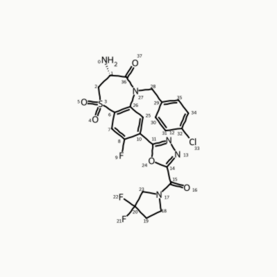 N[C@H]1CS(=O)(=O)c2cc(F)c(-c3nnc(C(=O)N4CCC(F)(F)C4)o3)cc2N(Cc2ccc(Cl)cc2)C1=O